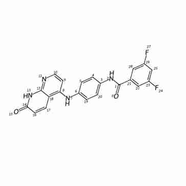 O=C(Nc1ccc(Nc2ccnc3[nH]c(=O)ccc23)cc1)c1cc(F)cc(F)c1